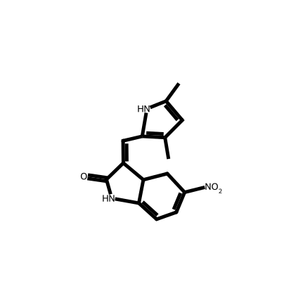 Cc1cc(C)c(C=C2C(=O)NC3=CC=C([N+](=O)[O-])CC32)[nH]1